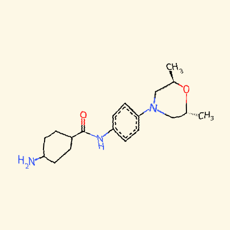 C[C@@H]1CN(c2ccc(NC(=O)C3CCC(N)CC3)cc2)C[C@@H](C)O1